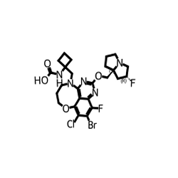 O=C(O)NC1(CN2CCCOc3c(Cl)c(Br)c(F)c4nc(OC[C@@]56CCCN5C[C@H](F)C6)nc2c34)CCC1